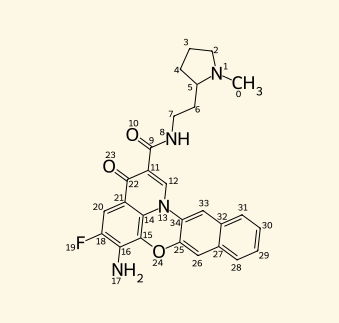 CN1CCCC1CCNC(=O)c1cn2c3c(c(N)c(F)cc3c1=O)Oc1cc3ccccc3cc1-2